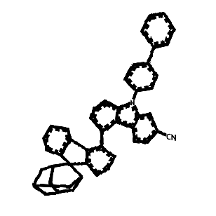 N#Cc1ccc2c3c(-c4cccc5c4-c4ccccc4C54C5CC6CC(C5)CC4C6)cccc3n(-c3ccc(-c4ccccc4)cc3)c2c1